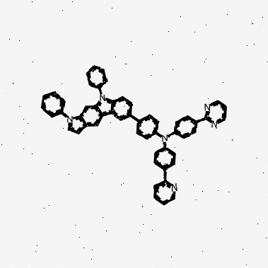 c1ccc(-n2ccc3cc4c5cc(-c6ccc(N(c7ccc(-c8ccccn8)cc7)c7ccc(-c8ncccn8)cc7)cc6)ccc5n(-c5ccccc5)c4cc32)cc1